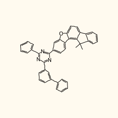 CC1(C)c2ccccc2-c2ccc3oc4cc(-c5nc(-c6ccccc6)nc(-c6cccc(-c7ccccc7)c6)n5)ccc4c3c21